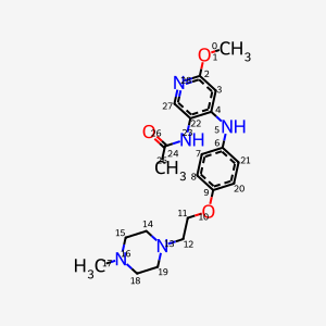 COc1cc(Nc2ccc(OCCN3CCN(C)CC3)cc2)c(NC(C)=O)cn1